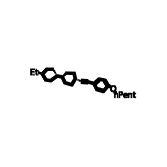 CCCCCOc1ccc(C#C[C@H]2CC[C@H]([C@H]3CC[C@H](CC)CC3)CC2)cc1